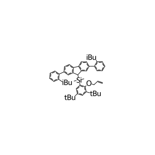 C=CCOc1c(C(C)(C)C)cc(C(C)(C)C)cc1[Si](C)(C)C1c2cc(-c3ccccc3C(C)CC)ccc2-c2ccc(-c3ccccc3C(C)CC)cc21